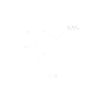 CNCCS(=O)(=O)OCC(C)(C)C